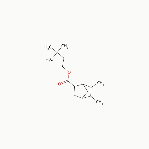 CC1C2CC(C(=O)OCCC(C)(C)C)C(C2)C1C